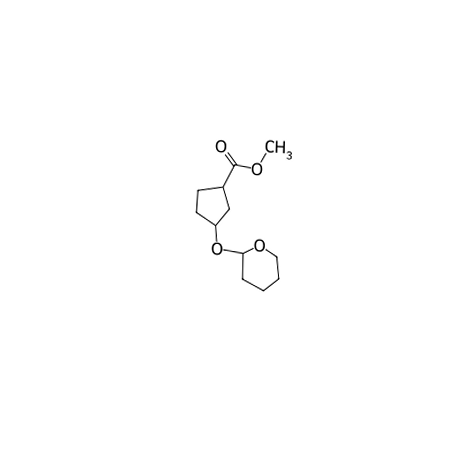 COC(=O)C1CCC(OC2CCCCO2)C1